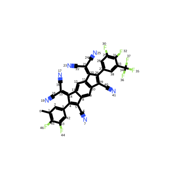 Cc1cc(C2=C(C#N)c3cc4c(cc3C2=C(C#N)C#N)C(=C(C#N)C#N)C(c2cc(F)c(F)c(C(F)(F)F)c2)=C4C#N)cc(F)c1F